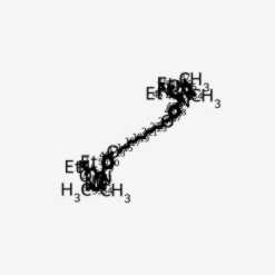 CCN(CC)C(=O)Cc1c(-c2ccc(OCCCCCCCCCCCCOc3ccc(-c4nn5c(C)cc(C)nc5c4CC(=O)N(CC)CC)cc3)cc2)nn2c(C)cc(C)nc12